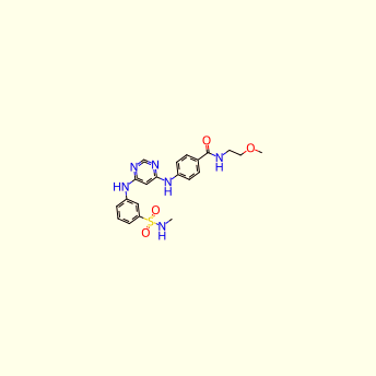 CNS(=O)(=O)c1cccc(Nc2cc(Nc3ccc(C(=O)NCCOC)cc3)ncn2)c1